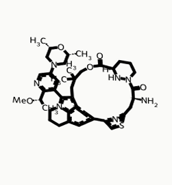 CO[C@@H](C)c1ncc(N2C[C@@H](C)O[C@@H](C)C2)cc1-c1c2c3cc(cc4c3n1CCC4)-c1csc(n1)C[C@H](N)C(=O)N1CCC[C@H](N1)C(=O)OCC(C)(C)C2